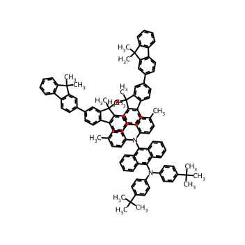 Cc1ccc(N(c2ccc(C)cc2-c2ccc3c(c2)C(C)(C)c2cc(-c4ccc5c(c4)C(C)(C)c4ccccc4-5)ccc2-3)c2c3ccccc3c(N(c3ccc(C(C)(C)C)cc3)c3ccc(C(C)(C)C)cc3)c3ccccc23)c(-c2ccc3c(c2)C(C)(C)c2cc(-c4ccc5c(c4)C(C)(C)c4ccccc4-5)ccc2-3)c1